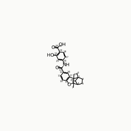 CC12CCC(C1)C1(C)Oc3ccc(C(=O)Nc4ccc(C(=O)O)c(O)c4)cc3C21C